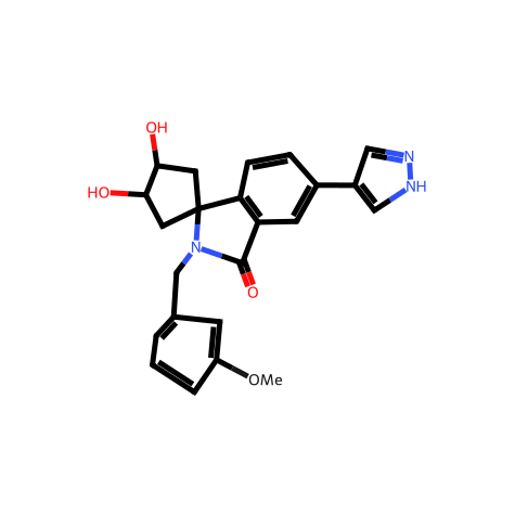 COc1cccc(CN2C(=O)c3cc(-c4cn[nH]c4)ccc3C23CC(O)C(O)C3)c1